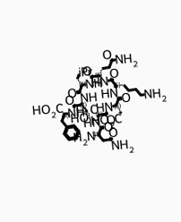 CC(C)C[C@H](NC(=O)[C@H](CCC(N)=O)NC(=O)[C@H](CCCCN)NC(=O)[C@H](CC(=O)O)NC(=O)[C@H](C)NC(=O)[C@@H](N)CC(N)=O)C(=O)N[C@@H](CO)C(=O)N[C@@H](Cc1ccccc1)C(=O)O